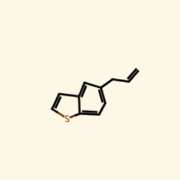 C=CCc1ccc2sccc2c1